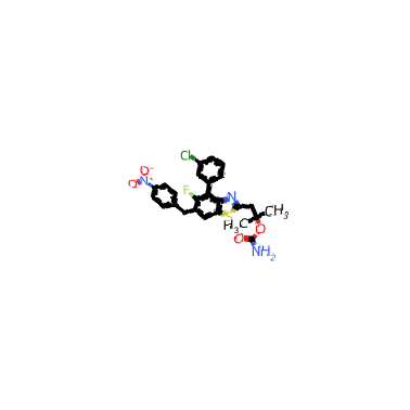 CC(C)(Cc1nc2c(-c3cccc(Cl)c3)c(F)c(Cc3ccc([N+](=O)[O-])cc3)cc2s1)OC(N)=O